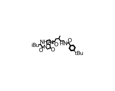 CCC(C)C(NC(C)=O)C(=O)N1CC(=O)C2C1CCN2C(=O)CC(C)CCNC(=O)c1ccc(C(C)(C)C)cc1